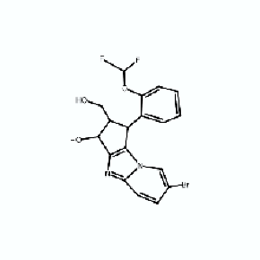 OCC1C(O)c2nc3ccc(Br)cn3c2C1c1ccccc1OC(F)F